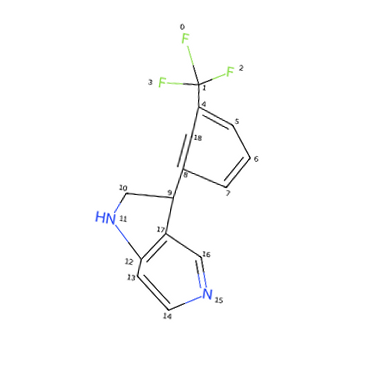 FC(F)(F)c1cccc(C2CNc3ccncc32)c1